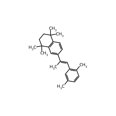 CC(=Cc1cc(C)ccc1C)c1ccc2c(c1)C(C)(C)CCC2(C)C